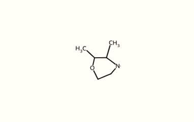 CC1[N]CCOC1C